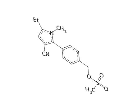 CCc1cc(C#N)c(-c2ccc(COS(C)(=O)=O)cc2)n1C